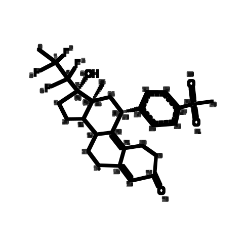 CC(F)(F)C(F)(F)[C@]1(O)CCC2C3CCC4=CC(=O)CCC4=C3[C@@H](c3ccc(S(C)(=O)=O)cc3)C[C@@]21C